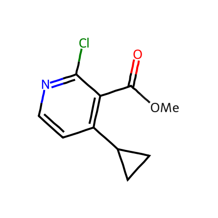 COC(=O)c1c(C2CC2)ccnc1Cl